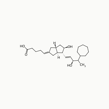 CC(C1CCCCCC1)[C@@H](O)/C=C/[C@@H]1[C@H]2C/C(=C/CCCC(=O)O)C[C@@H]2C[C@H]1O